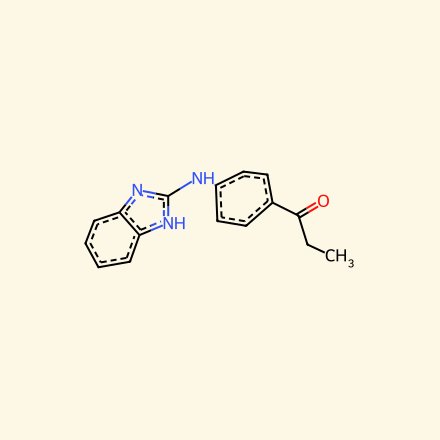 CCC(=O)c1ccc(Nc2nc3ccccc3[nH]2)cc1